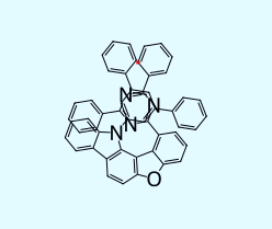 c1ccc(-c2cc(-c3ccccc3)cc(-n3c4ccccc4c4ccc5oc6cccc(-c7nc(-c8ccccc8)nc(-c8ccccc8)n7)c6c5c43)c2)cc1